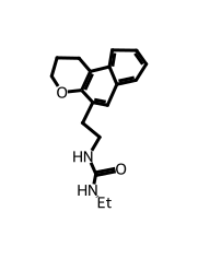 CCNC(=O)NCCc1cc2ccccc2c2c1OCCC2